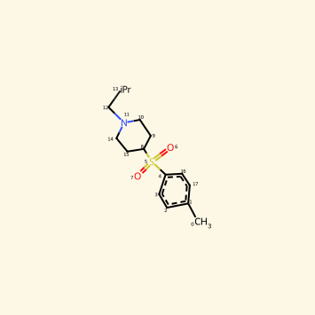 Cc1ccc(S(=O)(=O)C2CCN(CC(C)C)CC2)cc1